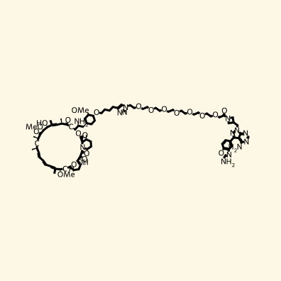 CO[C@H]1C[C@@H]2CC[C@@H](C)[C@@](O)(O2)C(=O)C(=O)N2CCCC[C@H]2C(=O)O[C@H]([C@H](N)C[C@@H]2CC[C@@H](OCCCCc3cn(CCOCCOCCOCCOCCOCCOCCOCC(=O)N4CC(Cn5nc(-c6ccc7oc(N)nc7c6)c6c(N)ncnc65)C4)nn3)[C@H](OC)C2)CC(=O)[C@H](C)/C=C(\C)[C@@H](O)[C@@H](OC)C(=O)[C@H](C)C[C@H](C)/C=C/C=C/C=C/1C